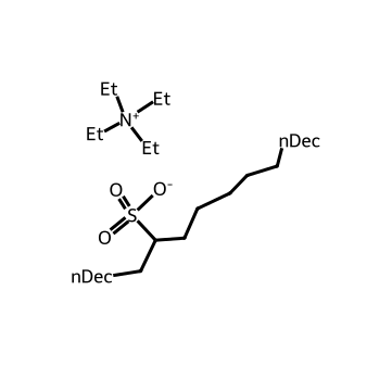 CCCCCCCCCCCCCCCC(CCCCCCCCCCC)S(=O)(=O)[O-].CC[N+](CC)(CC)CC